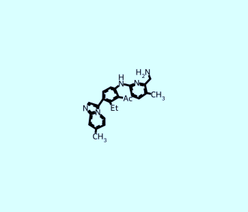 CCc1c(-c2cnc3cc(C)ccn23)ccc(Nc2ccc(C)c(CN)n2)c1C(C)=O